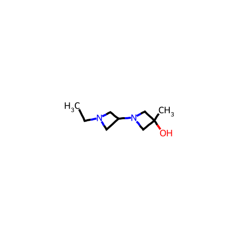 CCN1CC(N2CC(C)(O)C2)C1